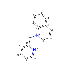 C1=Cc2ccccc2N(Cc2ccccn2)C1